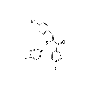 O=C(C(=Cc1ccc(Br)cc1)SCc1ccc(F)cc1)c1ccc(Cl)cc1